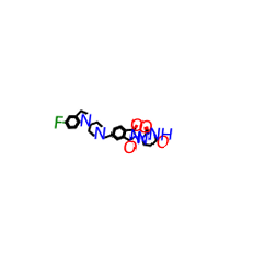 O=C1CCN(N2C(=O)c3ccc(CN4CCC(N5CCc6cc(F)ccc65)CC4)cc3C2=O)C(=O)N1